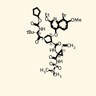 C=C[C@@H]1C[C@]1(NC(=O)[C@H]1CN(C(=O)[C@@H](NC(=O)OC2CCCC2)C(C)(C)C)C[C@@H]1Oc1cc(OCC)nc2c(Br)c(OC)ccc12)C(=O)NS(=O)(=O)N(C)C